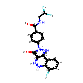 O=C(NCC(F)F)c1ccc(-n2[nH]c3c(nnc4c(F)cccc43)c2=O)cc1